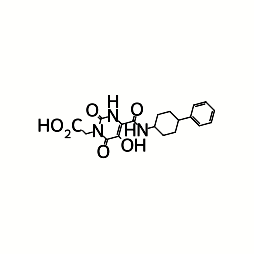 O=C(O)Cn1c(=O)[nH]c(C(=O)NC2CCC(c3ccccc3)CC2)c(O)c1=O